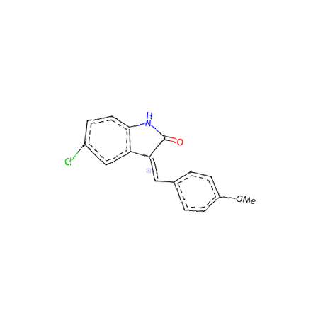 COc1ccc(/C=C2\C(=O)Nc3ccc(Cl)cc32)cc1